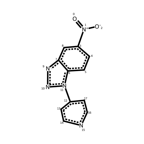 O=[N+]([O-])c1ccc2c(c1)nnn2-c1ccncc1